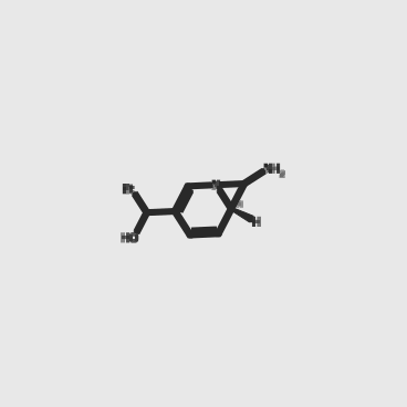 CCC(O)C1=CN2C(N)[C@@H]2C=C1